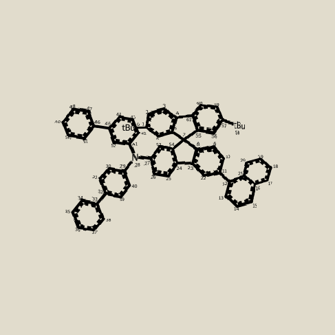 CC(C)(C)c1ccc2c(c1)C1(c3ccc(-c4cccc5ccccc45)cc3-c3ccc(N(c4ccc(-c5ccccc5)cc4)c4cccc(-c5ccccc5)c4)cc31)c1cc(C(C)(C)C)ccc1-2